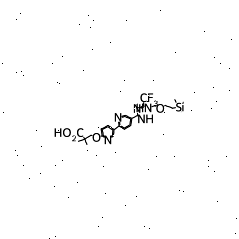 CC(C)(COc1ccc(-c2ccc(C(=N)/N=C(\NCOCC[Si](C)(C)C)C(F)(F)F)cn2)cn1)C(=O)O